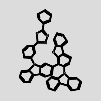 c1ccc(-c2nnc(-c3cccc(-n4c5ccccc5c5ccc(-c6c(-n7c8ccccc8c8ccccc87)ccc7c6oc6ccccc67)cc54)c3)o2)cc1